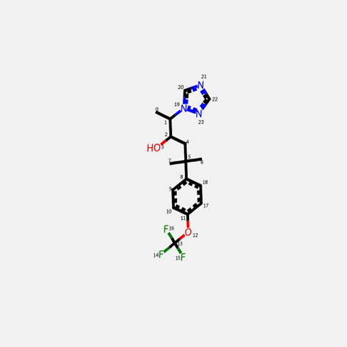 CC(C(O)CC(C)(C)c1ccc(OC(F)(F)F)cc1)n1cncn1